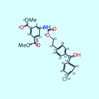 COC(=O)c1cc(NC(=O)OCCc2ccc(B(O)c3ccc(Cl)cc3)cc2)cc(C(=O)OC)c1